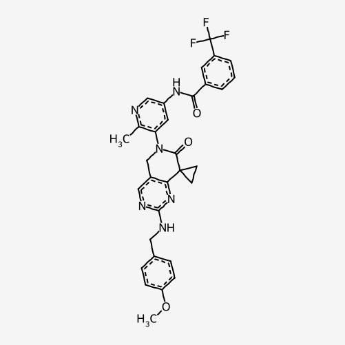 COc1ccc(CNc2ncc3c(n2)C2(CC2)C(=O)N(c2cc(NC(=O)c4cccc(C(F)(F)F)c4)cnc2C)C3)cc1